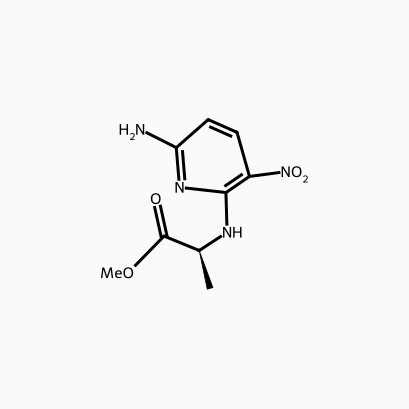 COC(=O)[C@H](C)Nc1nc(N)ccc1[N+](=O)[O-]